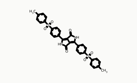 Cc1ccc(S(=O)(=O)c2ccc(C3=C4C(=O)NC(c5ccc(S(=O)(=O)c6ccc(C)cc6)cc5)=C4C(=O)N3)cc2)cc1